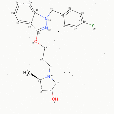 C[C@@H]1CC(O)CN1CCCOc1nn(Cc2ccc(Cl)cc2)c2ccccc12